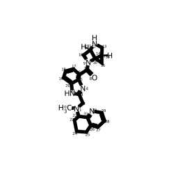 CN(Cc1nc2c(C(=O)N3C[C@H]4NC[C@@H]5CC543)cccc2[nH]1)C1CCCc2cccnc21